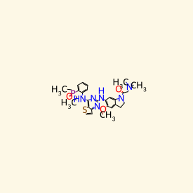 CCP(=O)(CC)c1ccccc1Nc1nc(Nc2cc3c(cc2OC)CCN3C(=O)CN(C)C)nc2ccsc12